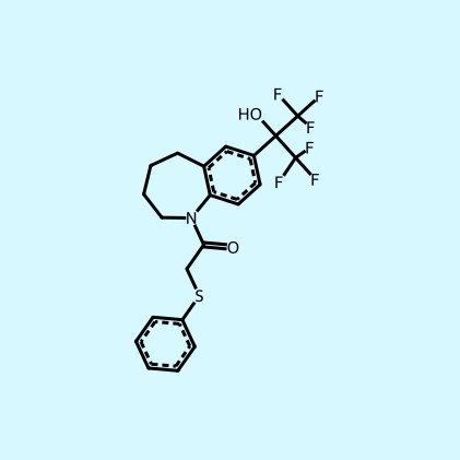 O=C(CSc1ccccc1)N1CCCCc2cc(C(O)(C(F)(F)F)C(F)(F)F)ccc21